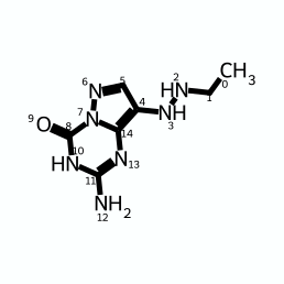 CCNNc1cnn2c(=O)[nH]c(N)nc12